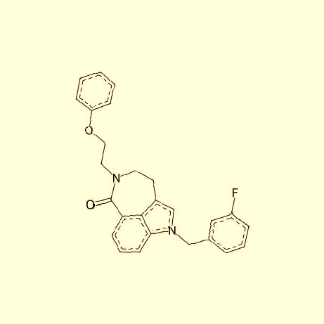 O=C1c2cccc3c2c(cn3Cc2cccc(F)c2)CCN1CCOc1ccccc1